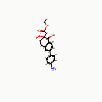 CCOC(=O)CC1(OC)CCc2cc(-c3ccc(N)cc3)ccc2C1=O